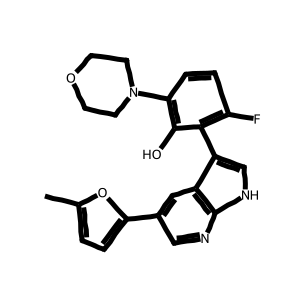 Cc1ccc(-c2cnc3[nH]cc(-c4c(F)ccc(N5CCOCC5)c4O)c3c2)o1